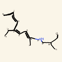 C\C=C/C(=C\C=C(/C)NCC(C)C)CC